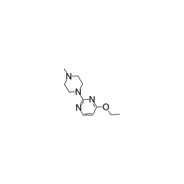 CCOc1ccnc(N2CCN(C)CC2)n1